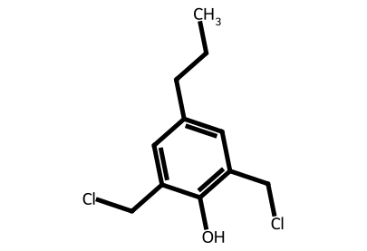 CCCc1cc(CCl)c(O)c(CCl)c1